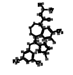 CCC(OC(=O)N1CCC[C@H](N(Cc2cc(C(F)(F)F)cc(C(F)(F)F)c2)c2nnn(C)n2)c2cc(C)c(C(F)(F)F)cc21)C(C)C